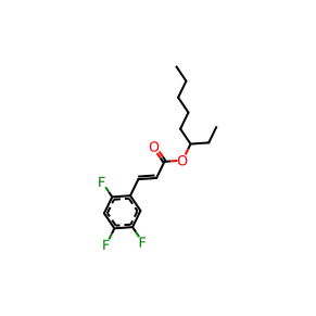 CCCCCC(CC)OC(=O)/C=C/c1cc(F)c(F)cc1F